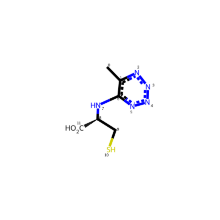 Cc1nnnnc1N[C@@H](CS)C(=O)O